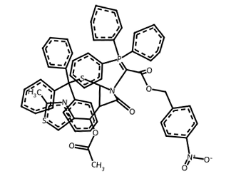 CC(=O)OC(c1csc(C)n1)C1C(=O)N(C(C(=O)OCc2ccc([N+](=O)[O-])cc2)=P(c2ccccc2)(c2ccccc2)c2ccccc2)C1SC(c1ccccc1)(c1ccccc1)c1ccccc1